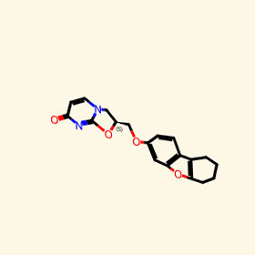 O=c1ccn2c(n1)O[C@H](COc1ccc3c4c(oc3c1)CCCC4)C2